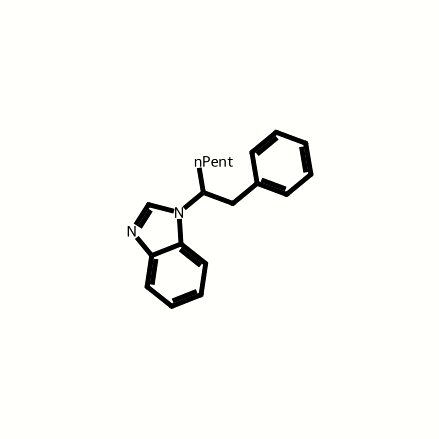 [CH2]CCCCC(Cc1ccccc1)n1cnc2ccccc21